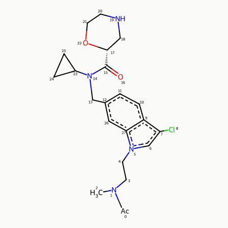 CC(=O)N(C)CCn1cc(Cl)c2ccc(CN(C(=O)[C@H]3CNCCO3)C3CC3)cc21